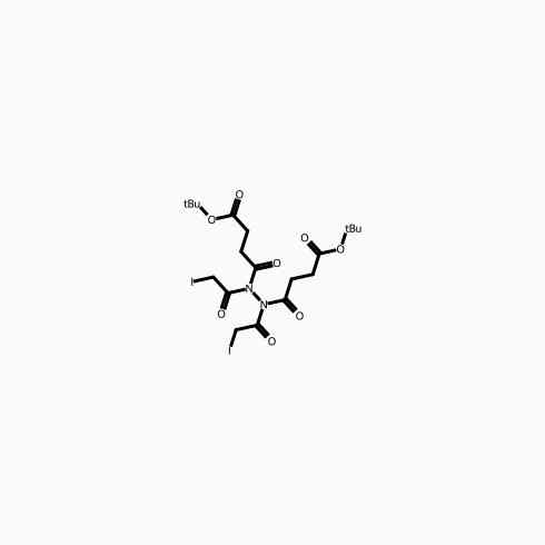 CC(C)(C)OC(=O)CCC(=O)N(C(=O)CI)N(C(=O)CI)C(=O)CCC(=O)OC(C)(C)C